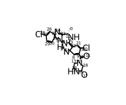 C[C@H](Nc1ncnc2cc(C(=O)N3CCNC(=O)C3)c(Cl)cc12)c1nc2cc(Cl)ccc2[nH]1